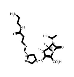 CC(O)[C@@H]1C(=O)N2C(C(=O)O)=C(S[C@@H]3CN[C@H](CSCCC(=O)NCCN)C3)[C@H](C)[C@H]12